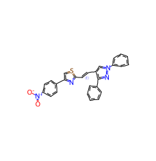 O=[N+]([O-])c1ccc(-c2csc(/C=C/c3cn(-c4ccccc4)nc3-c3ccccc3)n2)cc1